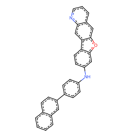 c1ccc2cc(-c3ccc(Nc4ccc5c(c4)oc4cc6cccnc6cc45)cc3)ccc2c1